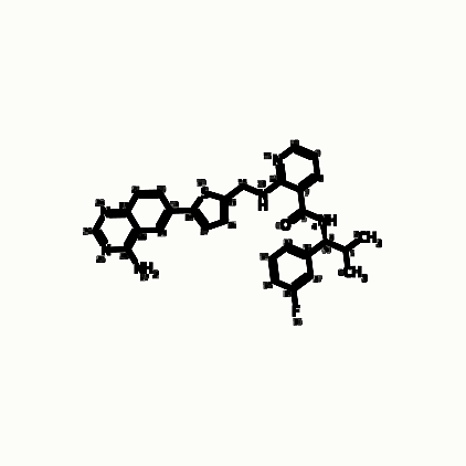 CC(C)[C@H](NC(=O)c1cccnc1NCc1ccc(-c2ccc3ncnc(N)c3c2)s1)c1cccc(F)c1